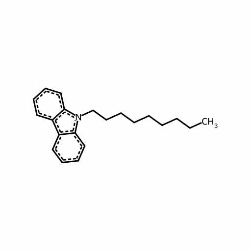 CCCCCCCCCn1c2ccccc2c2ccccc21